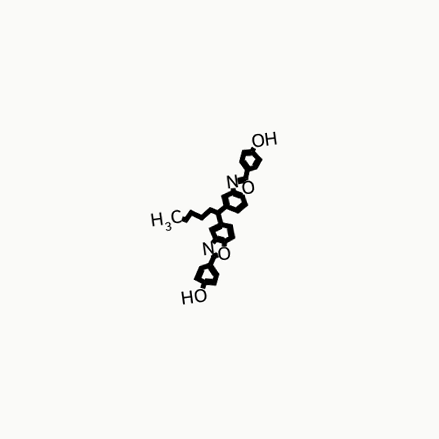 CCCCCC(c1ccc2oc(-c3ccc(O)cc3)nc2c1)c1ccc2oc(-c3ccc(O)cc3)nc2c1